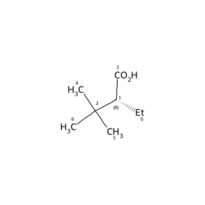 CC[C@@H](C(=O)O)C(C)(C)C